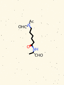 CC(=O)N(C=O)CCCCCC(=O)N[C@@H](C)C=O